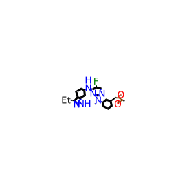 CCc1n[nH]c2cc(Nc3nc(N(C)c4cccc(CS(C)(=O)=O)c4)ncc3F)ccc12